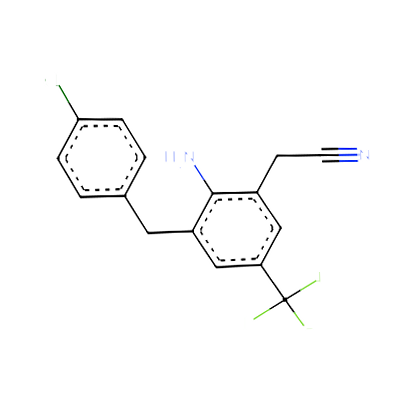 N#CCc1cc(C(F)(F)F)cc(Cc2ccc(Cl)cc2)c1N